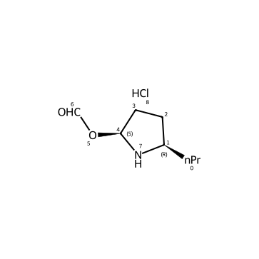 CCC[C@@H]1CC[C@H](OC=O)N1.Cl